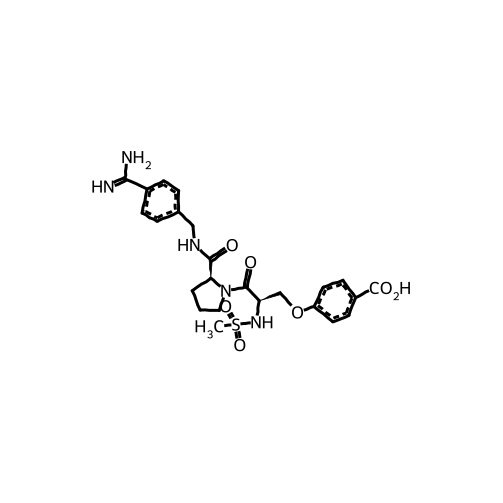 CS(=O)(=O)N[C@H](COc1ccc(C(=O)O)cc1)C(=O)N1CCC[C@H]1C(=O)NCc1ccc(C(=N)N)cc1